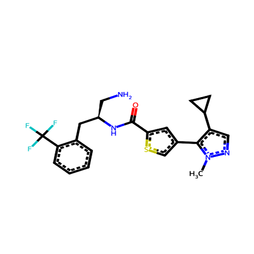 Cn1ncc(C2CC2)c1-c1csc(C(=O)N[C@H](CN)Cc2ccccc2C(F)(F)F)c1